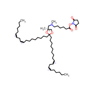 CCCCC/C=C\C/C=C\CCCCCCCCC1(CCCCCCCC/C=C\C/C=C\CCCCC)OC[C@](C)(CN(C)CCCCCC(=O)ON2C(=O)CCC2=O)O1